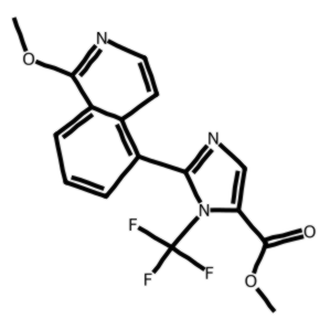 COC(=O)c1cnc(-c2cccc3c(OC)nccc23)n1C(F)(F)F